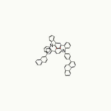 c1ccc(-n2c3ccccc3c3cc(-c4ccccc4N(c4ccc(-c5cccc(-c6ccc7ccccc7c6)c5)cc4)c4ccc(-c5cccc6c5ccc5ccccc56)cc4)ccc32)cc1